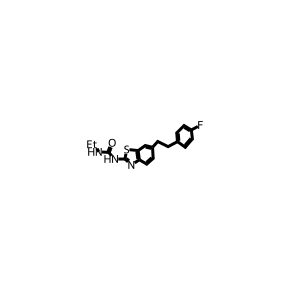 CCNC(=O)Nc1nc2ccc(CCc3ccc(F)cc3)cc2s1